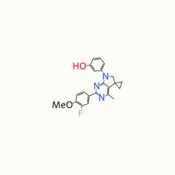 COc1ccc(-c2nc(C)c3c(n2)N(c2cccc(O)c2)CC32CC2)cc1F